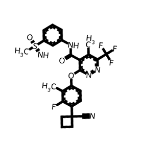 Cc1c(Oc2nnc(C(F)(F)F)c(C)c2C(=O)Nc2cccc(S(C)(=N)=O)c2)ccc(C2(C#N)CCC2)c1F